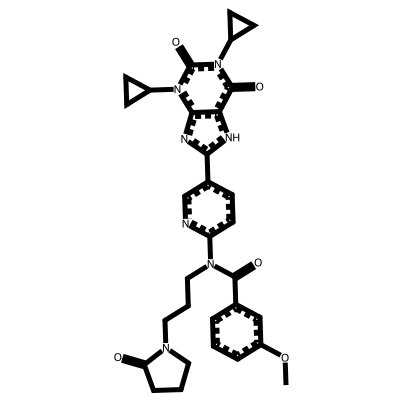 COc1cccc(C(=O)N(CCCN2CCCC2=O)c2ccc(-c3nc4c([nH]3)c(=O)n(C3CC3)c(=O)n4C3CC3)cn2)c1